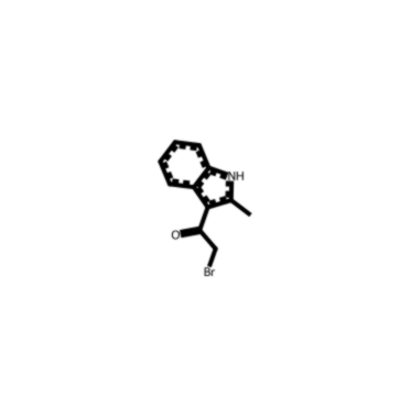 Cc1[nH]c2ccccc2c1C(=O)CBr